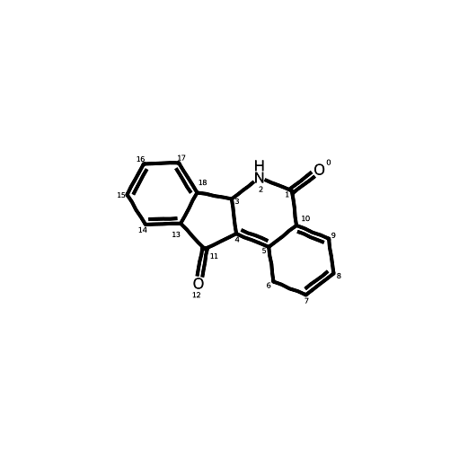 O=C1NC2C(=C3CC=CC=C13)C(=O)c1ccccc12